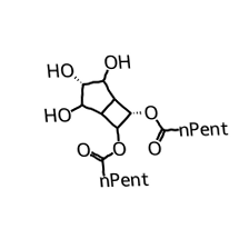 CCCCCC(=O)OC1C2C(O)[C@H](O)C(O)C2[C@@H]1OC(=O)CCCCC